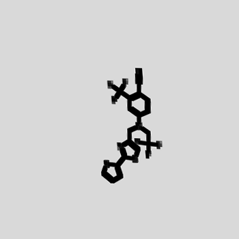 N#Cc1ccc(N(Cc2csc(-c3cccs3)n2)CC(F)(F)F)cc1C(F)(F)F